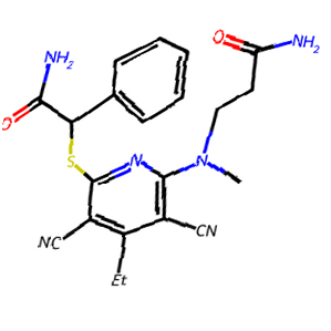 CCc1c(C#N)c(SC(C(N)=O)c2ccccc2)nc(N(C)CCC(N)=O)c1C#N